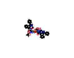 CC(C)(C)OC(=O)N[C@@H](CSSC[C@H](NC(=O)O)C(=O)N1CCn2nc(-c3ccccc3)cc2C1CC1CCCCC1)C(=O)N1CCn2nc(-c3ccccc3)cc2C1CC1CCCCC1